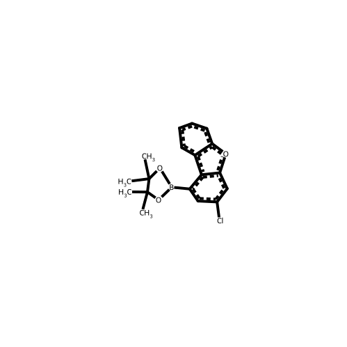 CC1(C)OB(c2cc(Cl)cc3oc4ccccc4c23)OC1(C)C